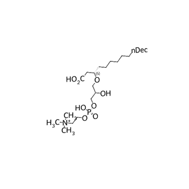 CCCCCCCCCCCCCCCC[C@@H](CC(=O)O)OCC(O)COP(=O)(O)OCC[N+](C)(C)C